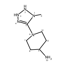 CN1NNN=C1N1CCC(N)CC1